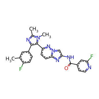 Cc1cc(-c2nc(C)n(C)c2-c2ccc3nc(NC(=O)c4ccnc(F)c4)cn3n2)ccc1F